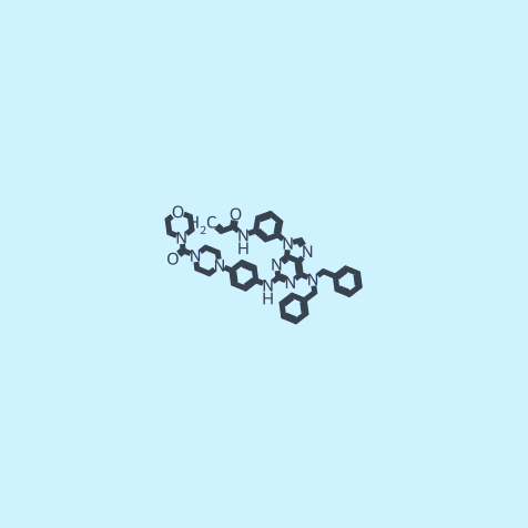 C=CC(=O)Nc1cccc(-n2cnc3c(N(Cc4ccccc4)Cc4ccccc4)nc(Nc4ccc(N5CCN(C(=O)N6CCOCC6)CC5)cc4)nc32)c1